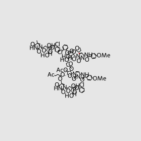 COc1ccc(C(=O)Nc2ccn([C@@H]3O[C@H](CO)[C@](O)([PH](=O)Oc4ccccc4Cl)[C@H]3OC3CCCO3)c(=O)n2)cc1.COc1ccc(C(=O)Nc2ccn([C@@H]3O[C@H](COC(=O)CCC(C)=O)[C@@H](OC(C)=O)[C@H]3OC3CCCO3)c(=O)n2)cc1.Cc1cn([C@H]2C[C@@](O)([PH](=O)Oc3ccccc3Cl)[C@@H](CO)O2)c(=O)[nH]c1=O.Cc1cn([C@H]2C[C@@](O)([PH](=O)Oc3ccccc3Cl)[C@@H](CO)O2)c(=O)[nH]c1=O